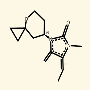 C=c1/c(=C\C)n(C)c(=O)n1[C@@H]1CCOC2(CC2)C1